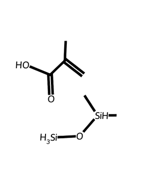 C=C(C)C(=O)O.C[SiH](C)O[SiH3]